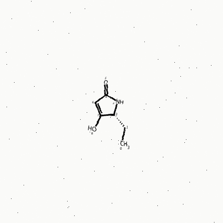 CC[C@H]1NC(=O)C=C1O